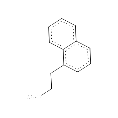 CO[CH]Cc1cccc2ccccc12